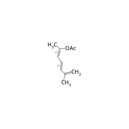 C=C(C)/C=C/C=C(/C)OC(C)=O